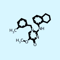 COc1cn(Cc2cccc(C)c2)c(Nc2cccc3c2CCCC3)nc1=O